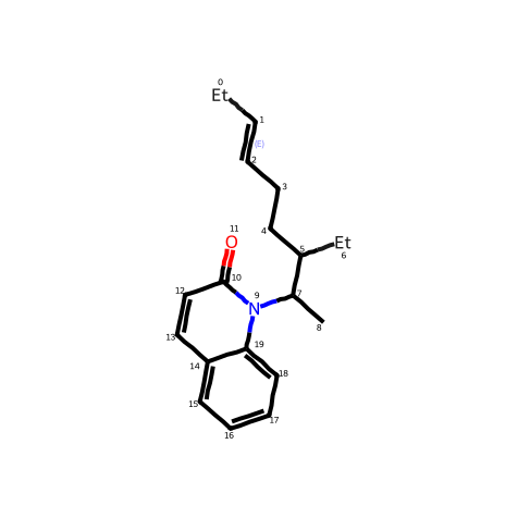 CC/C=C/CCC(CC)C(C)n1c(=O)ccc2ccccc21